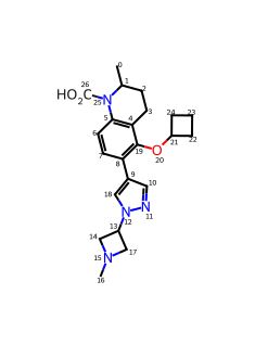 CC1CCc2c(ccc(-c3cnn(C4CN(C)C4)c3)c2OC2CCC2)N1C(=O)O